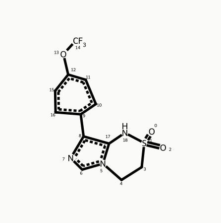 O=S1(=O)CCn2cnc(-c3ccc(OC(F)(F)F)cc3)c2N1